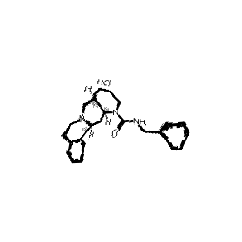 Cl.O=C(NCc1ccccc1)N1CCC[C@@H]2CN3CCc4ccccc4[C@@H]3C[C@@H]21